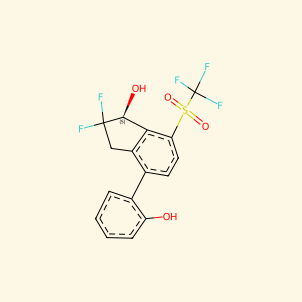 O=S(=O)(c1ccc(-c2ccccc2O)c2c1[C@H](O)C(F)(F)C2)C(F)(F)F